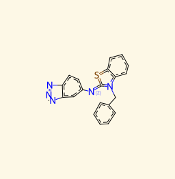 c1ccc(Cn2/c(=N/c3ccc4c(c3)[N]N=N4)sc3ccccc32)cc1